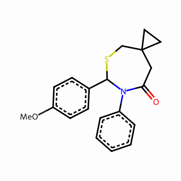 COc1ccc(C2SCC3(CC3)CC(=O)N2c2ccccc2)cc1